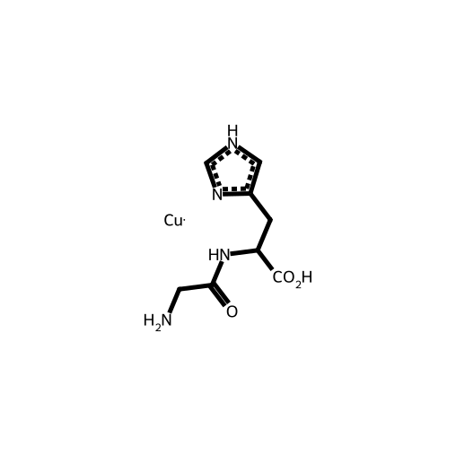 NCC(=O)NC(Cc1c[nH]cn1)C(=O)O.[Cu]